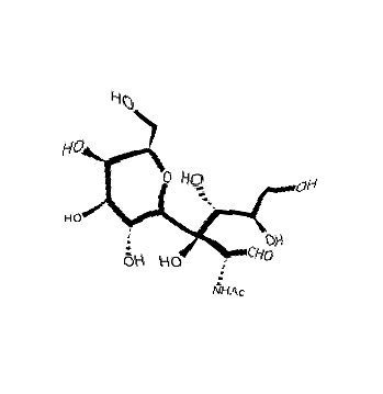 CC(=O)N[C@@H](C=O)[C@](O)(C1O[C@H](CO)[C@H](O)[C@H](O)[C@H]1O)[C@H](O)[C@H](O)CO